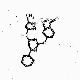 Cc1cc(Nc2cc(-c3ccccc3)nc(Oc3ccc4c(=O)[nH][nH]c4c3)n2)n[nH]1